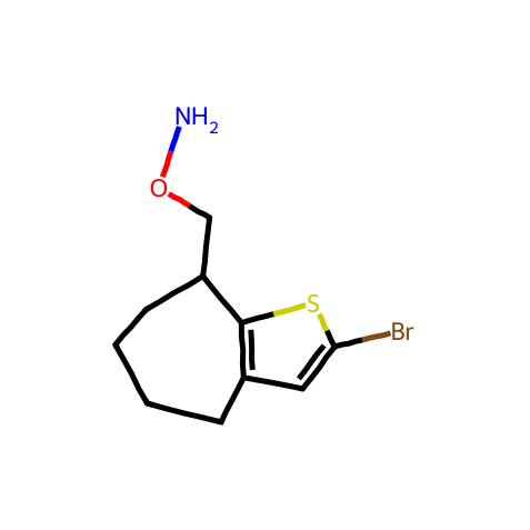 NOCC1CCCCc2cc(Br)sc21